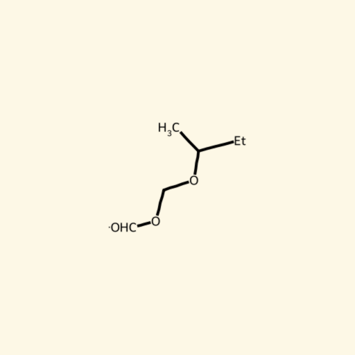 CCC(C)OCO[C]=O